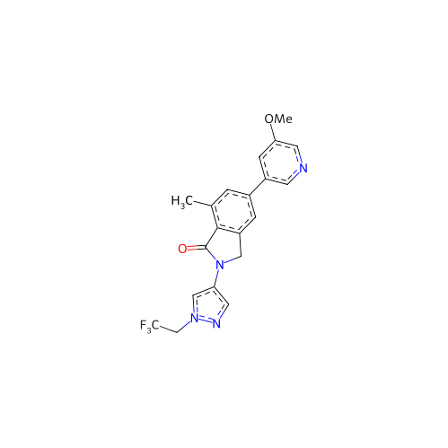 COc1cncc(-c2cc(C)c3c(c2)CN(c2cnn(CC(F)(F)F)c2)C3=O)c1